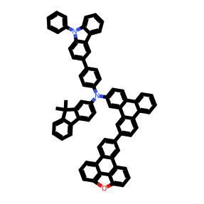 CC1(C)c2ccccc2-c2ccc(N(c3ccc(-c4ccc5c(c4)c4ccccc4n5-c4ccccc4)cc3)c3ccc4c5ccccc5c5ccc(-c6ccc7c(c6)c6cccc8oc9cccc7c9c86)cc5c4c3)cc21